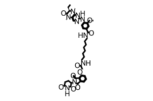 CC[C@@H]1C(=O)N(C)c2cnc(Nc3ccc(C(=O)NCCCCCCCCNC(=O)COc4cccc5c4C(=O)N(C4CCC(=O)NC4=O)C5=O)cc3OC)nc2N1C